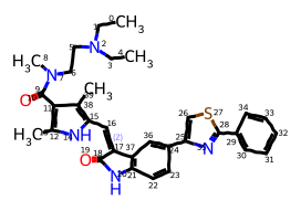 CCN(CC)CCN(C)C(=O)c1c(C)[nH]c(/C=C2\C(=O)Nc3ccc(-c4csc(-c5ccccc5)n4)cc32)c1C